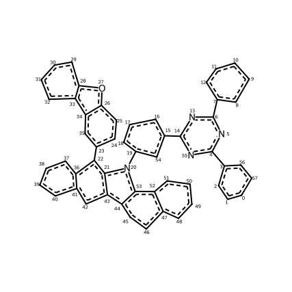 c1ccc(-c2nc(-c3ccccc3)nc(-c3cccc(-n4c5c(-c6ccc7oc8ccccc8c7c6)c6ccccc6cc5c5ccc6ccccc6c54)c3)n2)cc1